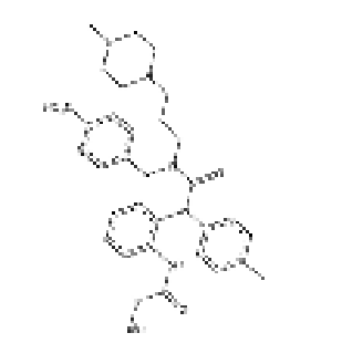 Cc1ccc(N(C(=O)N(CCCN2CCN(C)CC2)Cc2ccc(C(=O)O)nc2)c2ccccc2NC(=O)OC(C)(C)C)cc1